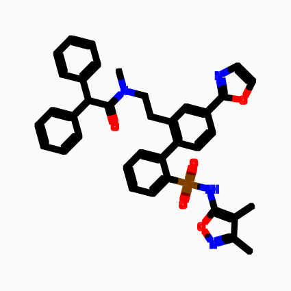 Cc1noc(NS(=O)(=O)c2ccccc2-c2ccc(-c3ncco3)cc2CCN(C)C(=O)C(c2ccccc2)c2ccccc2)c1C